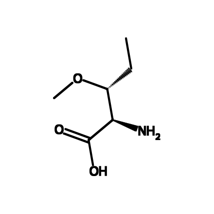 CC[C@@H](OC)[C@@H](N)C(=O)O